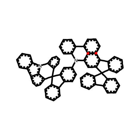 c1ccc(-c2ccccc2N(c2ccc3c(c2)C2(c4ccccc4-c4ccccc42)c2ccccc2-3)c2ccc3c(c2)C2(c4ccccc4-3)c3ccccc3-n3c4ccccc4c4cccc2c43)cc1